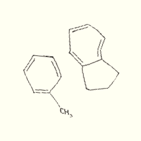 Cc1ccccc1.c1ccc2c(c1)CCC2